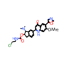 COc1cc2[nH]c(-c3ccc4c(c3)C(N(C)C)C(OC(=O)NCCCl)C4)cc(=O)c2cc1-c1cnco1